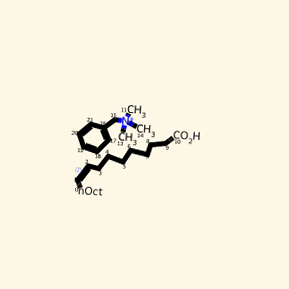 CCCCCCCC/C=C\CCCCCCCC(=O)O.C[N+](C)(C)Cc1ccccc1